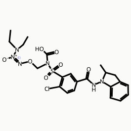 CCN(CC)/[N+]([O-])=N\OCN(C(=O)O)S(=O)(=O)c1cc(C(=O)NN2c3ccccc3CC2C)ccc1Cl